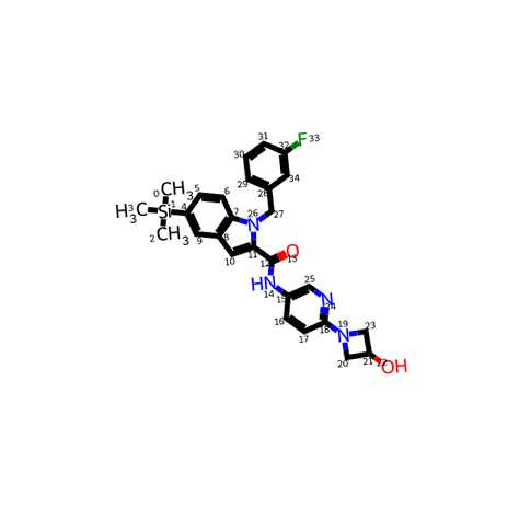 C[Si](C)(C)c1ccc2c(c1)cc(C(=O)Nc1ccc(N3CC(O)C3)nc1)n2Cc1cccc(F)c1